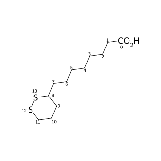 O=C(O)CCCCCCCC1CCCSS1